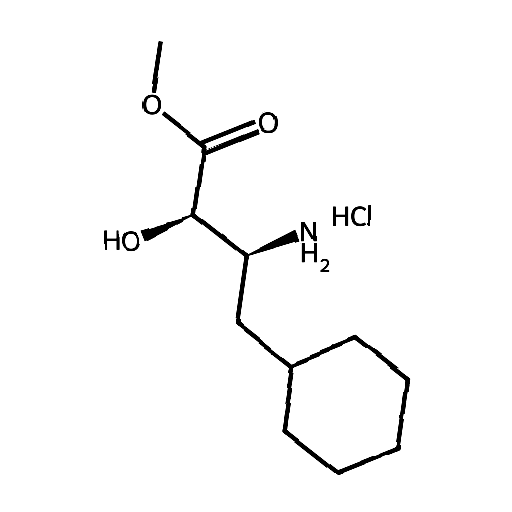 COC(=O)[C@H](O)[C@@H](N)CC1CCCCC1.Cl